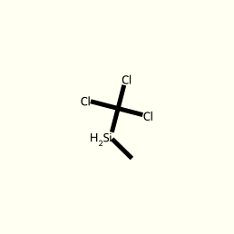 C[SiH2]C(Cl)(Cl)Cl